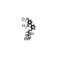 C[C@@H](CCc1cc(-c2ccc([N+](=O)[O-])cc2N)ccn1)NC(=O)OC(C)(C)C